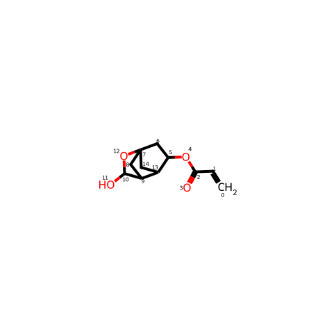 C=CC(=O)OC1CC23CC(C(O)O2)C1C3